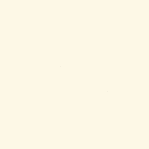 CCC=CC=CCCOCCCCCCCCCCCCCCCC